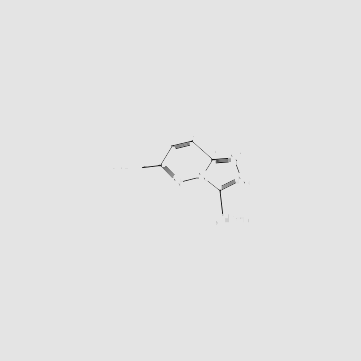 CCCCCc1ccc2nnc(CCCCC)n2n1